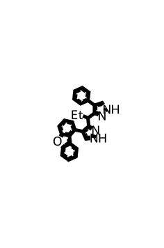 CCC(c1n[nH]cc1-c1ccccc1)c1n[nH]cc1-c1cccc2oc3ccccc3c12